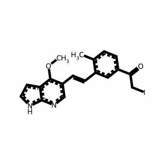 COc1c(/C=C/c2cc(C(=O)CI)ccc2C)cnc2[nH]ccc12